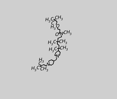 CN(CCC(C)(C)CCC(C)(C)C1CCN(CC2CCN(CCC(C)(C)C)CC2)CC1)C(=O)CCOCCC(C)(C)C